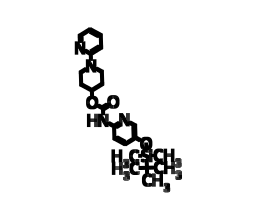 CC(C)(C)[Si](C)(C)Oc1ccc(NC(=O)OC2CCN(c3ccccn3)CC2)nc1